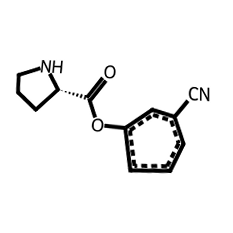 N#Cc1cccc(OC(=O)[C@@H]2CCCN2)c1